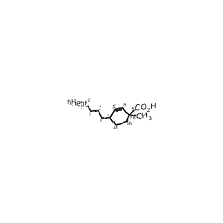 CCCCCCCCCCC1C=CC(C)(C(=O)O)CC1